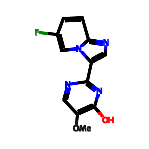 COc1cnc(-c2cnc3ccc(F)cn23)nc1O